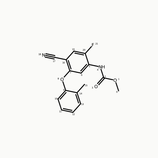 COC(=O)Nc1cc(Oc2ccccc2C)c(C#N)cc1F